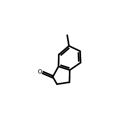 Cc1ccc2c(c1)C(=O)CC2